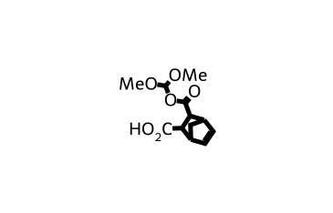 COC(OC)OC(=O)C1C2C=CC(C2)C1C(=O)O